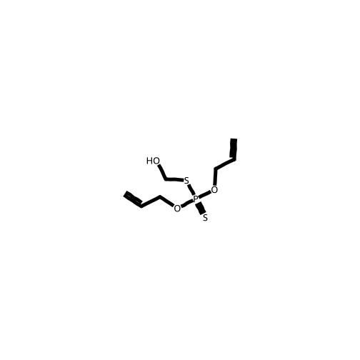 C=CCOP(=S)(OCC=C)SCO